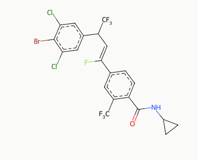 O=C(NC1CC1)c1ccc(/C(F)=C/C(c2cc(Cl)c(Br)c(Cl)c2)C(F)(F)F)cc1C(F)(F)F